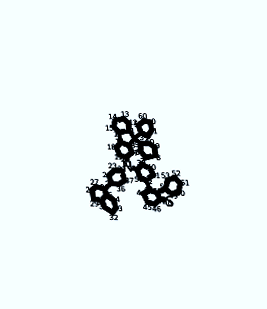 c1ccc(C2(c3ccccc3)c3ccccc3-c3ccc(N(c4ccc(-c5cccc6ccccc56)cc4)c4cccc(-c5cccc6sc7ccccc7c56)c4)cc32)cc1